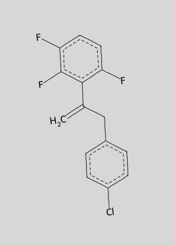 C=C(Cc1ccc(Cl)cc1)c1c(F)ccc(F)c1F